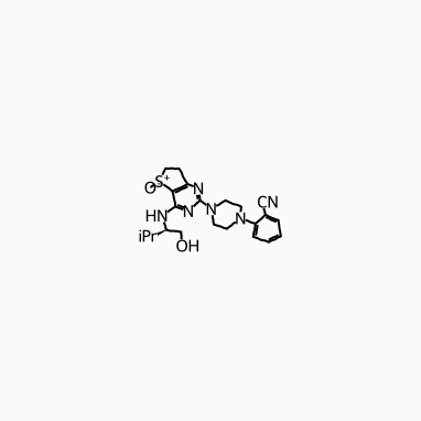 CC(C)[C@H](CO)Nc1nc(N2CCN(c3ccccc3C#N)CC2)nc2c1[S+]([O-])CC2